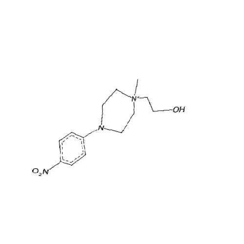 C[N+]1(CCO)CCN(c2ccc([N+](=O)[O-])cc2)CC1